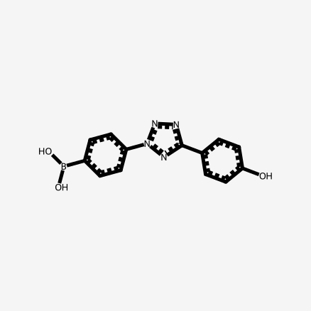 OB(O)c1ccc(-n2nnc(-c3ccc(O)cc3)n2)cc1